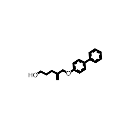 C=C(CCCO)COc1ccc(-c2ccccc2)cc1